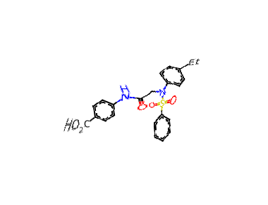 CCc1ccc(N(CC(=O)Nc2ccc(C(=O)O)cc2)S(=O)(=O)c2ccccc2)cc1